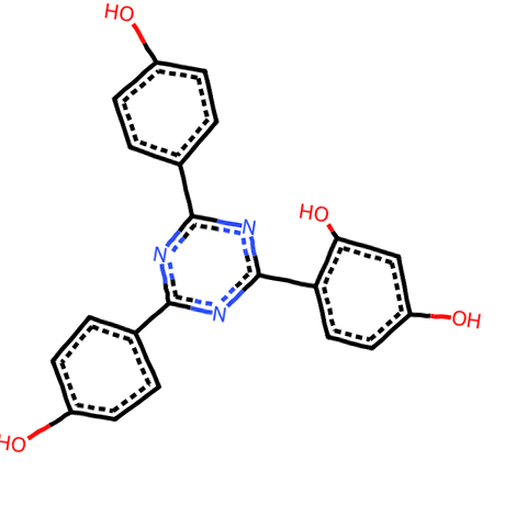 Oc1ccc(-c2nc(-c3ccc(O)cc3)nc(-c3ccc(O)cc3O)n2)cc1